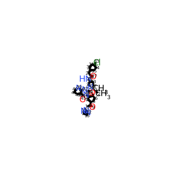 CC(C)Oc1ccc(C(=O)Cn2nccn2)cc1-n1c(CN2CCC(NC(=O)Cc3ccc(Cl)cc3)C2)nc2ncccc2c1=O